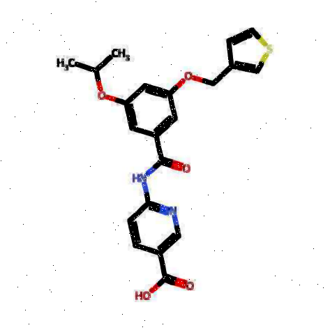 CC(C)Oc1cc(OCc2ccsc2)cc(C(=O)Nc2ccc(C(=O)O)cn2)c1